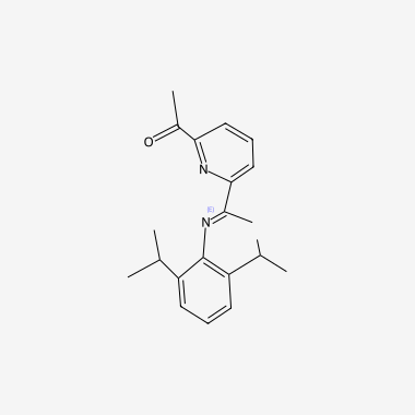 CC(=O)c1cccc(/C(C)=N/c2c(C(C)C)cccc2C(C)C)n1